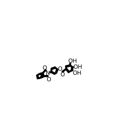 O=C(Oc1ccc(N2C(=O)C3C4C=CC(C4)C3C2=O)cc1)c1cc(O)c(O)c(O)c1